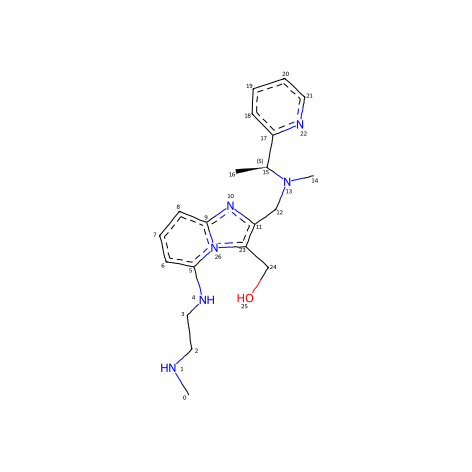 CNCCNc1cccc2nc(CN(C)[C@@H](C)c3ccccn3)c(CO)n12